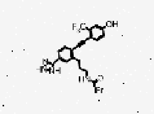 CC(C)C(=O)NCCCc1cc(-c2n[nH][nH]2)ccc1C#Cc1ccc(O)cc1C(F)(F)F